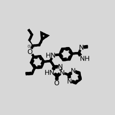 C=Cc1cc(O[C@@H](CCC)CC2CC2)cc(C(Nc2ccc(C(=N)N=C)cc2)c2nn(-c3ncccn3)c(=O)[nH]2)c1